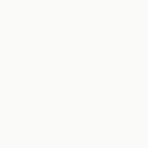 O=C1COCc2sc(C(F)(F)F)cc21